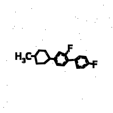 CC1CCC(c2ccc(-c3ccc(F)cc3)c(F)c2)CC1